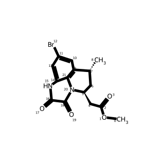 COC(=O)C[C@@H]1C[C@@H](C)c2cc(Br)cc3[nH]c(=O)c(=O)n1c23